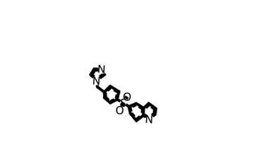 O=S(=O)(c1ccc(Cn2ccnc2)cc1)c1ccc2ncccc2c1